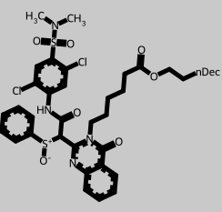 CCCCCCCCCCCCOC(=O)CCCCCn1c(C(C(=O)Nc2cc(Cl)c(S(=O)(=O)N(C)C)cc2Cl)[S+]([O-])c2ccccc2)nc2ccccc2c1=O